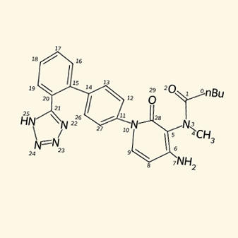 CCCCC(=O)N(C)c1c(N)ccn(-c2ccc(-c3ccccc3-c3nnn[nH]3)cc2)c1=O